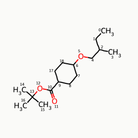 CCC(C)COC1CCC(C(=O)OC(C)(C)C)CC1